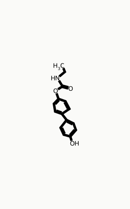 CCNC(=O)Oc1ccc(-c2ccc(O)cc2)cc1